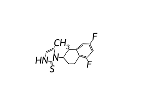 Cc1c[nH]c(=S)n1C1CCc2c(F)cc(F)cc2C1